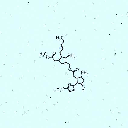 CC/C=C/CC1C(CC(=O)OC)CC(COC(=O)CC2C(N)CC(=O)C2c2ccc(C)o2)C1N